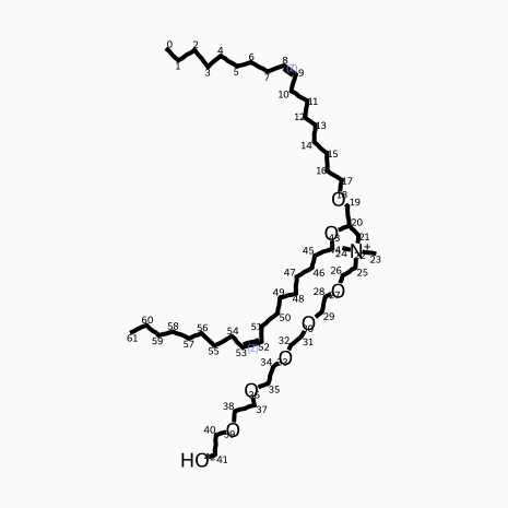 CCCCCCCC/C=C\CCCCCCCCOCC(C[N+](C)(C)CCOCCOCCOCCOCCOCCO)OCCCCCCCC/C=C\CCCCCCCC